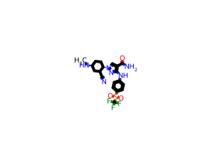 CN[C@H]1CC[C@H](n2cc(C(N)=O)c(Nc3ccc(S(=O)(=O)C(F)(F)F)cc3)n2)C(C#N)C1